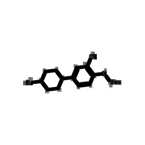 CCCCCCOc1ccc(C2CCC(CCCC)CC2)cc1C#N